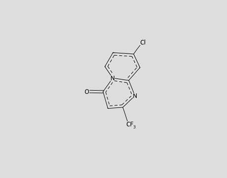 O=c1cc(C(F)(F)F)nc2cc(Cl)ccn12